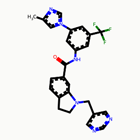 Cc1cn(-c2cc(NC(=O)c3ccc4c(c3)N(Cc3cncnc3)CC4)cc(C(F)(F)F)c2)cn1